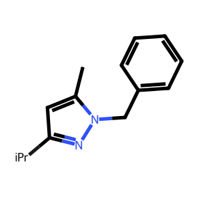 Cc1cc(C(C)C)nn1Cc1ccccc1